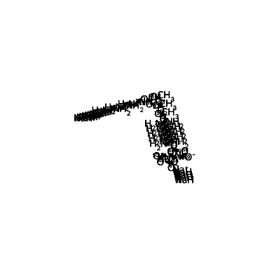 CC(=O)[O-].CC(=O)[O-].CC(=O)[O-].CC(=O)[O-].NCCN.NCCN.NCCN.NCCN.NCCN.NCCN.NCCN.NCCN.O=C([O-])CN(CCN(CC(=O)[O-])CC(=O)[O-])CC(=O)[O-].[Na+].[Na+].[Na+].[Na+].[Na+].[Na+].[Na+].[Na+].[NaH].[NaH].[NaH].[NaH].[NaH].[NaH].[NaH].[NaH]